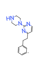 [c]1cccc(CCc2ccnc(N3CCNCC3)n2)c1